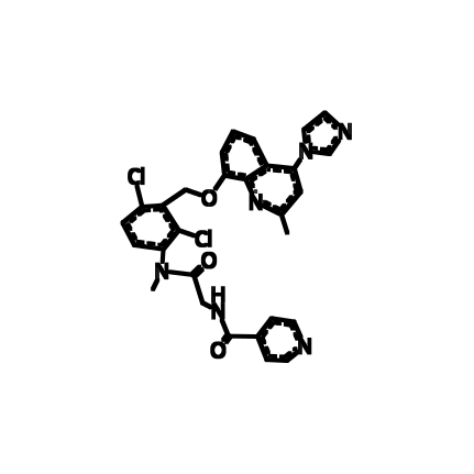 Cc1cc(-n2ccnc2)c2cccc(OCc3c(Cl)ccc(N(C)C(=O)CNC(=O)c4ccncc4)c3Cl)c2n1